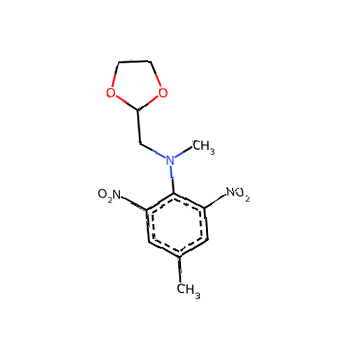 Cc1cc([N+](=O)[O-])c(N(C)CC2OCCO2)c([N+](=O)[O-])c1